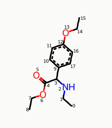 CCNC(C(=O)OCC)c1ccc(OCC)cc1